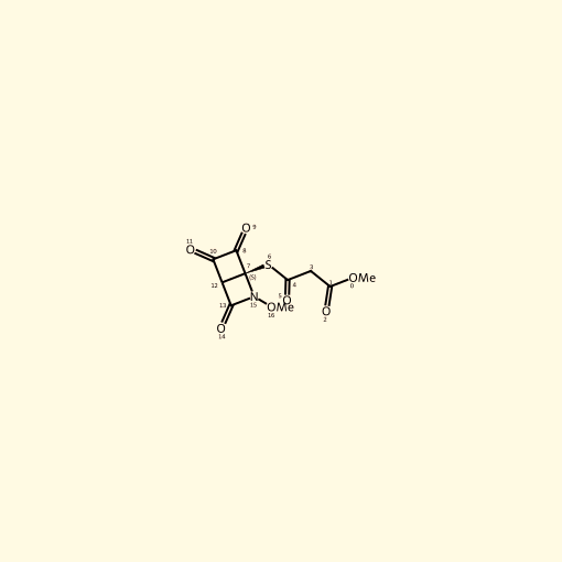 COC(=O)CC(=O)S[C@]12C(=O)C(=O)C1C(=O)N2OC